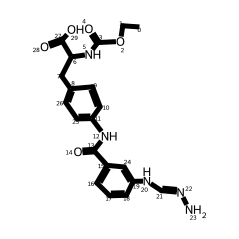 CCOC(=O)NC(Cc1ccc(NC(=O)c2cccc(NC=NN)c2)cc1)C(=O)O